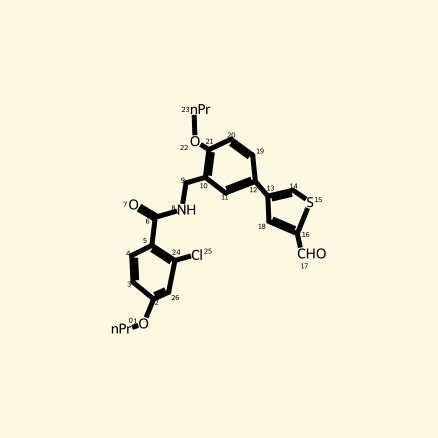 CCCOc1ccc(C(=O)NCc2cc(-c3csc(C=O)c3)ccc2OCCC)c(Cl)c1